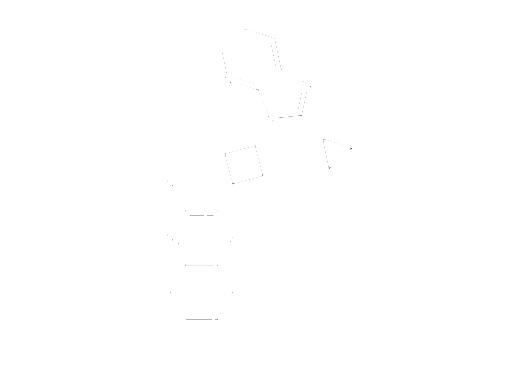 Nc1nc2ccc(F)cc2cc1C1CC(n2c(C3CC3)nc3cccnc32)C1